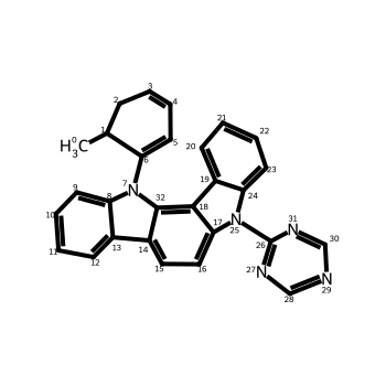 CC1CC=CC=C1n1c2ccccc2c2ccc3c(c4ccccc4n3-c3ncncn3)c21